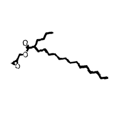 CCCCCCCCCCCCCCC(CCCC)C(=O)OCC1CO1